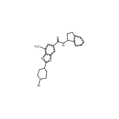 CCN1CCC(c2nc3c(C)cc(C(=O)NC4CCc5ccccc54)cc3s2)CC1